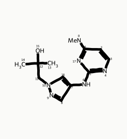 CNc1ccnc(Nc2cnn(CC(C)(C)O)c2)n1